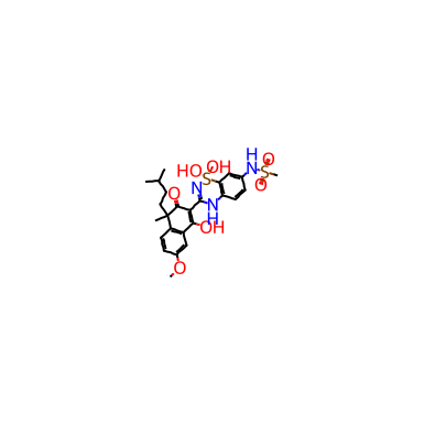 COc1ccc2c(c1)C(O)=C(C1=NS(O)(O)c3cc(NS(C)(=O)=O)ccc3N1)C(=O)C2(C)CCC(C)C